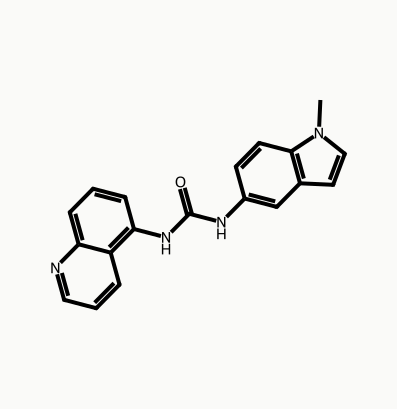 Cn1ccc2cc(NC(=O)Nc3cccc4ncccc34)ccc21